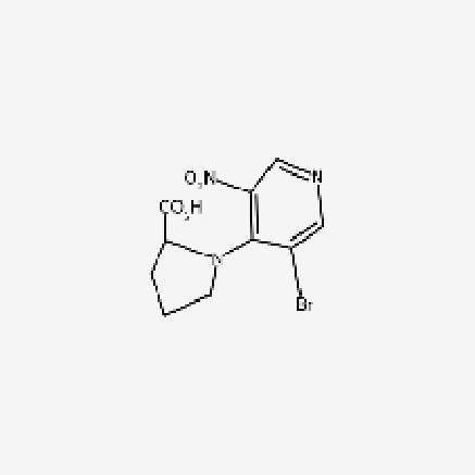 O=C(O)C1CCCN1c1c(Br)cncc1[N+](=O)[O-]